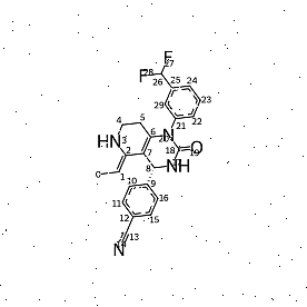 CC=C1NCCC2=C1[C@@H](c1ccc(C#N)cc1)NC(=O)N2c1cccc(C(F)F)c1